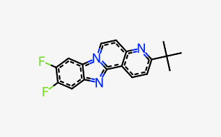 CC(C)(C)c1ccc2c(ccn3c4cc(F)c(F)cc4nc23)n1